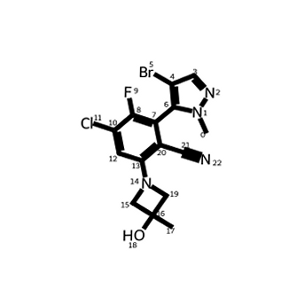 Cn1ncc(Br)c1-c1c(F)c(Cl)cc(N2CC(C)(O)C2)c1C#N